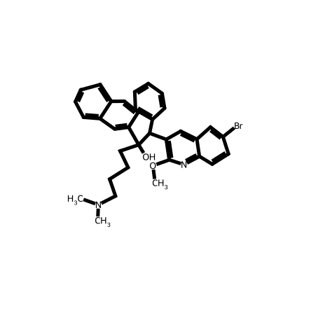 COc1nc2ccc(Br)cc2cc1C(c1ccccc1)C(O)(CCCCN(C)C)c1ccc2ccccc2c1